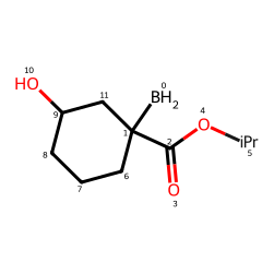 BC1(C(=O)OC(C)C)CCCC(O)C1